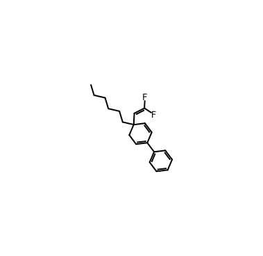 CCCCCCC1(C=C(F)F)C=CC(c2ccccc2)=CC1